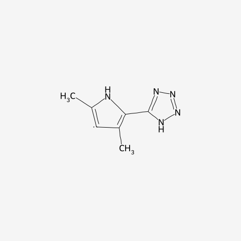 Cc1[c]c(C)c(-c2nnn[nH]2)[nH]1